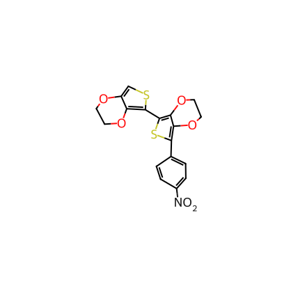 O=[N+]([O-])c1ccc(-c2sc(-c3scc4c3OCCO4)c3c2OCCO3)cc1